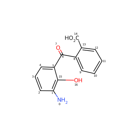 Nc1cccc(C(=O)c2ccccc2C(=O)O)c1O